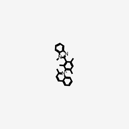 Cc1cc(C)c(-[n+]2c(C)ccc3ccccc32)c(C)c1-c1nc2ccccc2n1C